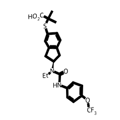 CCN(C(=O)Nc1ccc(OC(F)(F)F)cc1)[C@@H]1Cc2ccc(SC(C)(C)C(=O)O)cc2C1